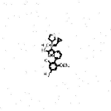 CCc1nn2c(-c3c(Cl)cc(C)cc3OC)cccc2c1[N+](C)(CC1CC1)C1CCOC1